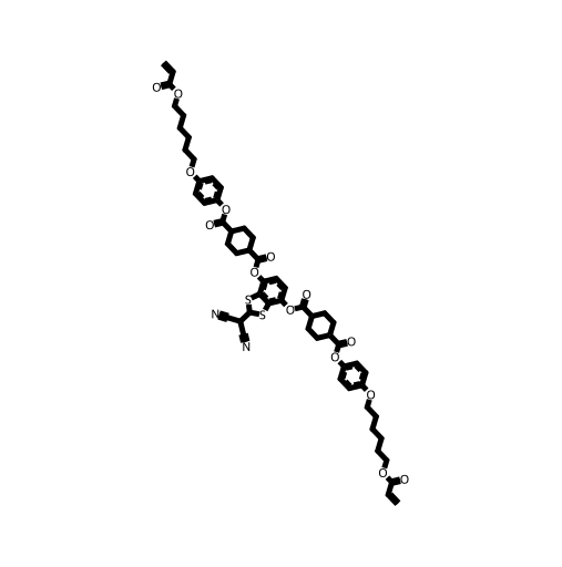 C=CC(=O)OCCCCCCOc1ccc(OC(=O)C2CCC(C(=O)Oc3ccc(OC(=O)C4CCC(C(=O)Oc5ccc(OCCCCCCOC(=O)C=C)cc5)CC4)c4c3SC(C(C#N)C#N)S4)CC2)cc1